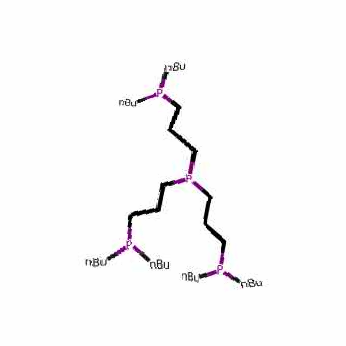 CCCCP(CCCC)CCCP(CCCP(CCCC)CCCC)CCCP(CCCC)CCCC